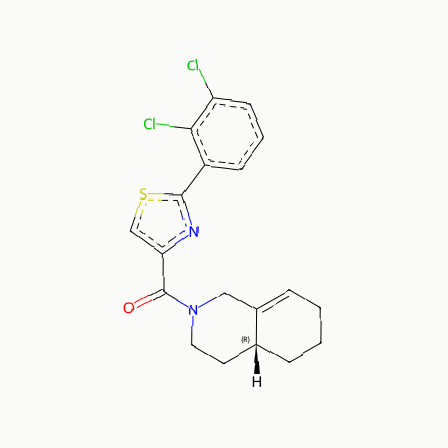 O=C(c1csc(-c2cccc(Cl)c2Cl)n1)N1CC[C@H]2CCCC=C2C1